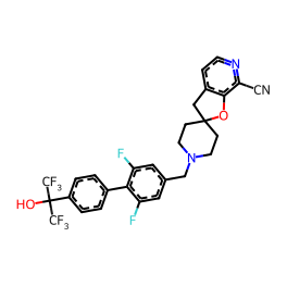 N#Cc1nccc2c1OC1(CCN(Cc3cc(F)c(-c4ccc(C(O)(C(F)(F)F)C(F)(F)F)cc4)c(F)c3)CC1)C2